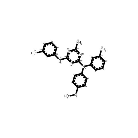 COc1ccc(N(c2cccc(C)c2)c2nc(N)nc(Nc3cccc(C)c3)n2)cc1